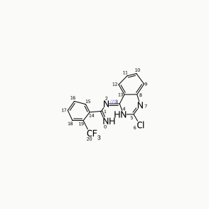 N=C(/N=c1\[nH]c(Cl)nc2ccccc12)c1ccccc1C(F)(F)F